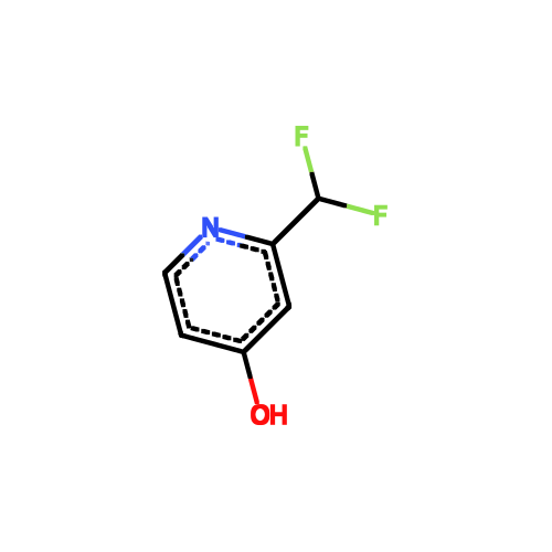 Oc1ccnc(C(F)F)c1